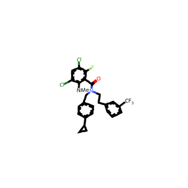 CNc1c(Cl)cc(Cl)c(F)c1C(=O)N(CCc1cccc(C(F)(F)F)c1)Cc1ccc(C2CC2)cc1